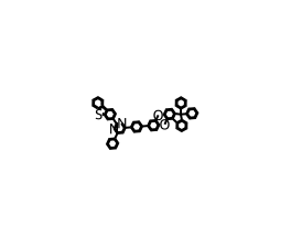 c1ccc(-c2cc(-c3ccc(-c4ccc5c(c4)Oc4ccc6c(c4O5)-c4ccccc4C6(c4ccccc4)c4ccccc4)cc3)nc(-c3ccc4c(c3)sc3ccccc34)n2)cc1